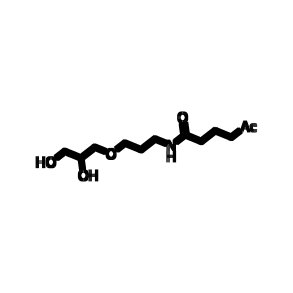 CC(=O)CCCC(=O)NCCCOCC(O)CO